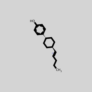 CCC/C=C/[C@H]1CC[C@H](c2ccc(O)cc2)CC1